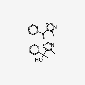 C=C(c1ccccc1)c1scnc1C.Cc1ncsc1C(C)(O)c1ccccc1